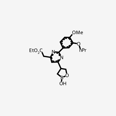 CCCOc1cc(-c2nc(CC(=O)OCC)cc(C3COB(O)C3)n2)ccc1OC